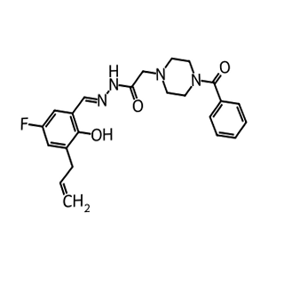 C=CCc1cc(F)cc(C=NNC(=O)CN2CCN(C(=O)c3ccccc3)CC2)c1O